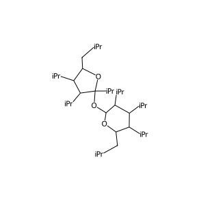 CC(C)CC1OC(OC2(C(C)C)OC(CC(C)C)C(C(C)C)C2C(C)C)C(C(C)C)C(C(C)C)C1C(C)C